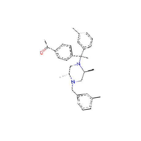 CC(=O)c1ccc(C(C)(c2cccc(C)c2)N2C[C@@H](C)N(Cc3cccc(C)c3)C[C@@H]2C)cc1